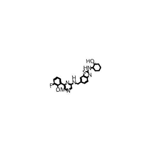 COc1c(F)cccc1-c1cncc(NCc2ccc3nc(NC4CCCC[C@H]4O)sc3c2)n1